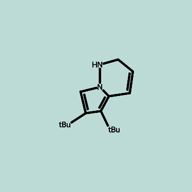 CC(C)(C)c1cn2c(c1C(C)(C)C)C=CCN2